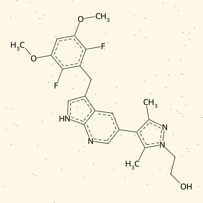 COc1cc(OC)c(F)c(Cc2c[nH]c3ncc(-c4c(C)nn(CCO)c4C)cc23)c1F